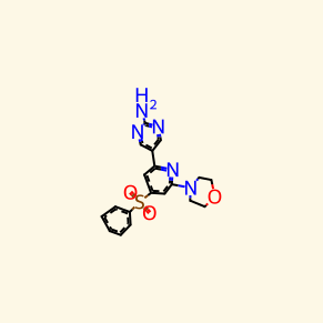 Nc1ncc(-c2cc(S(=O)(=O)c3ccccc3)cc(N3CCOCC3)n2)cn1